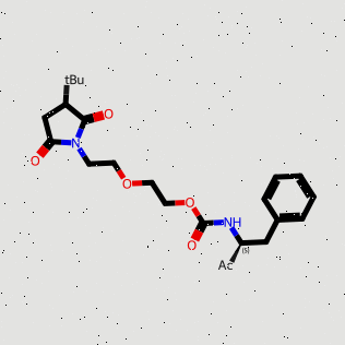 CC(=O)[C@H](Cc1ccccc1)NC(=O)OCCOCCN1C(=O)CC(C(C)(C)C)C1=O